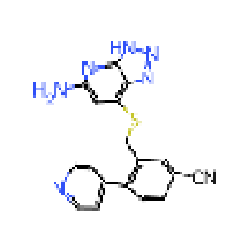 N#Cc1ccc(-c2ccncc2)c(CSc2cc(N)nc3[nH]nnc23)c1